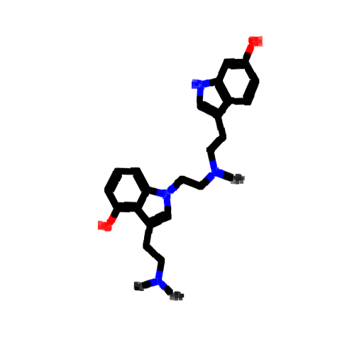 CCCN(CC)CCc1cn(CCN(CCC)CCc2c[nH]c3cc(O)ccc23)c2cccc(O)c12